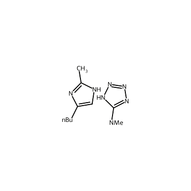 CCCCc1c[nH]c(C)n1.CNc1nnn[nH]1